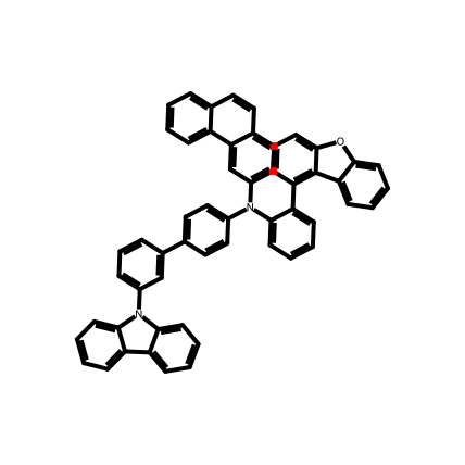 c1cc(-c2ccc(N(c3ccc4ccc5ccccc5c4c3)c3ccccc3-c3cccc4oc5ccccc5c34)cc2)cc(-n2c3ccccc3c3ccccc32)c1